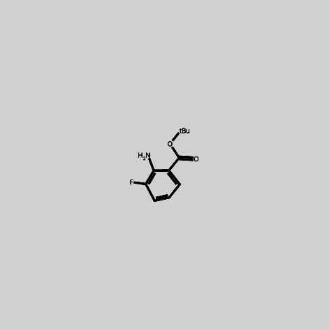 CC(C)(C)OC(=O)c1cccc(F)c1N